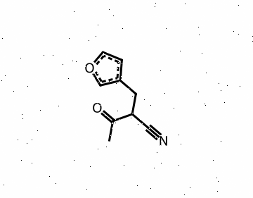 CC(=O)C(C#N)Cc1ccoc1